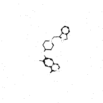 Cc1cc2c(=O)[nH]ccc2cc1OC1CCN(CC2=NCc3ccccc32)CC1